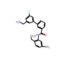 Cc1ccc(CC(=O)O)c(NC(=O)c2cccc(-c3cc(F)cc(CN)c3)c2)c1